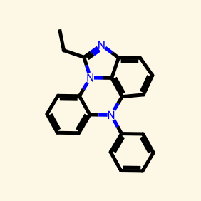 CCc1nc2cccc3c2n1-c1ccccc1N3c1ccccc1